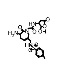 Cc1ccc(S(=O)(=O)NCC2=CCC(N)C(=O)N(CC(=O)NC3CC(=O)OC3O)C2)cc1